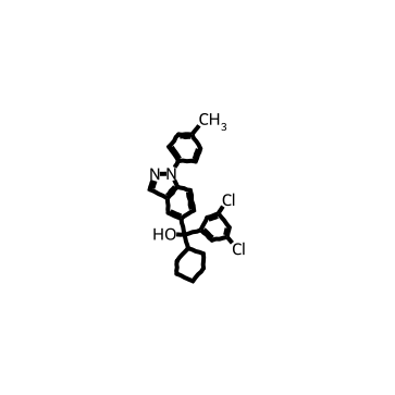 Cc1ccc(-n2ncc3cc(C(O)(c4cc(Cl)cc(Cl)c4)C4CCCCC4)ccc32)cc1